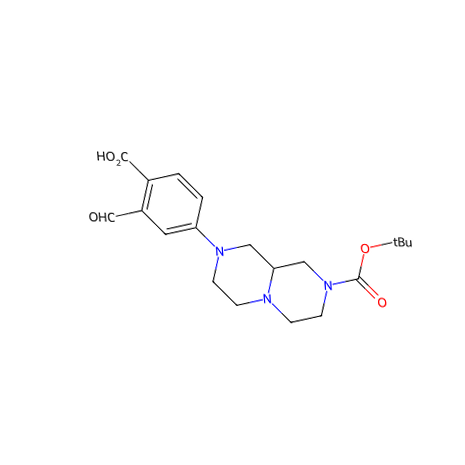 CC(C)(C)OC(=O)N1CCN2CCN(c3ccc(C(=O)O)c(C=O)c3)CC2C1